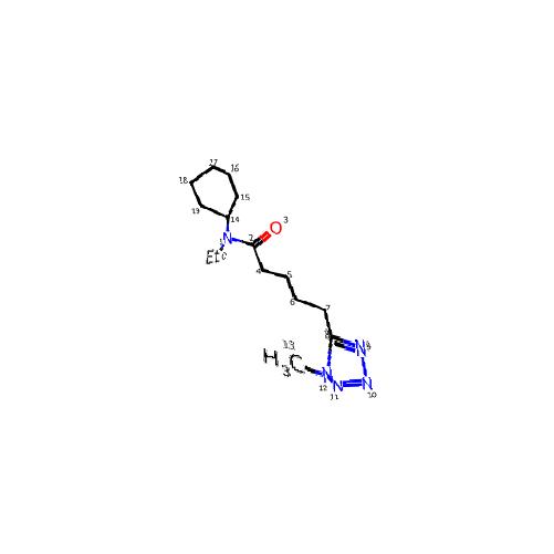 CCN(C(=O)CCCCc1nnnn1C)C1CCCCC1